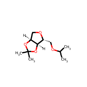 CC(C)OC[C@H]1OC[C@@H]2OC(C)(C)O[C@@H]21